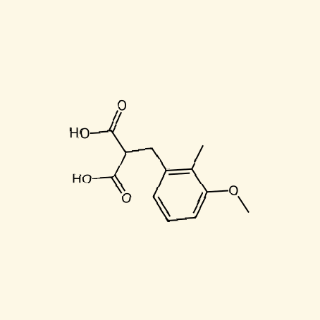 COc1cccc(CC(C(=O)O)C(=O)O)c1C